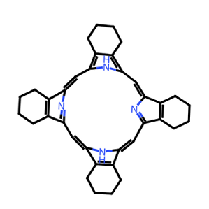 c1c2nc(cc3[nH]c(cc4nc(cc5[nH]c1c1c5CCCC1)C1=C4CCCC1)c1c3CCCC1)C1=C2CCCC1